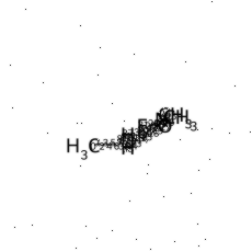 CCCCCCCC1CC[C@@H]2C[C@H](c3ccc(-c4ccc(C5=NC(C)(C)CO5)cc4)c(F)c3)CC[C@@H]2C1